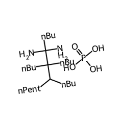 CCCCCC(CCCC)C(CCCC)(CCCC)C(N)(N)CCCC.O=P(O)(O)O